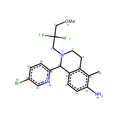 COCC(F)(F)CN1CCc2c(ccc(N)c2C)C1c1ccc(Br)cn1